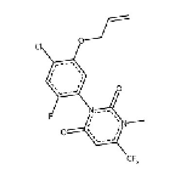 C=CCOc1cc(-n2c(=O)cc(C(F)(F)F)n(C)c2=O)c(F)cc1Cl